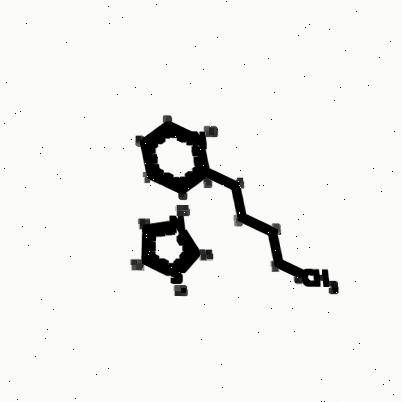 CCCCCc1ccccn1.c1cscn1